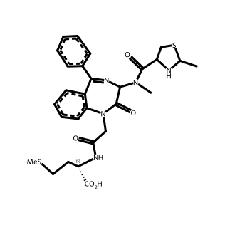 CSCC[C@H](NC(=O)CN1C(=O)C(N(C)C(=O)C2CSC(C)N2)N=C(c2ccccc2)c2ccccc21)C(=O)O